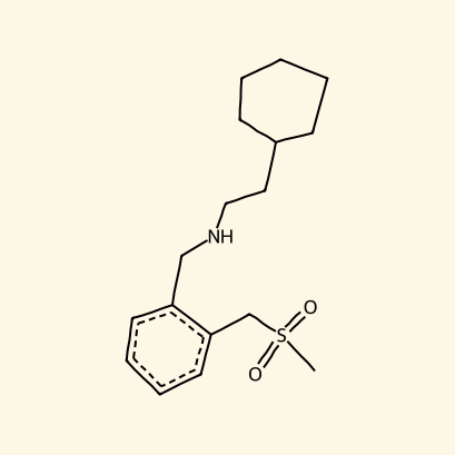 CS(=O)(=O)Cc1ccccc1CNCCC1CCCCC1